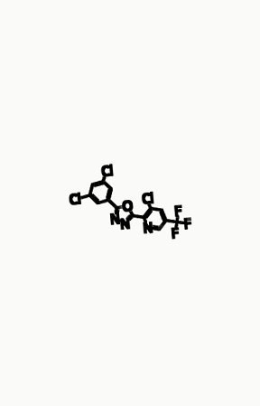 FC(F)(F)c1cnc(-c2nnc(-c3cc(Cl)cc(Cl)c3)o2)c(Cl)c1